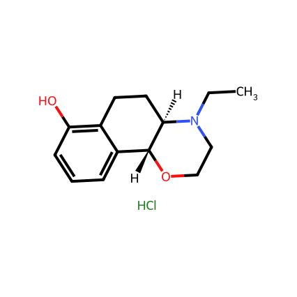 CCN1CCO[C@@H]2c3cccc(O)c3CC[C@H]21.Cl